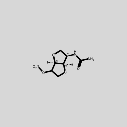 NC(=O)N[C@@H]1CO[C@@H]2C(O[N+](=O)[O-])CO[C@@H]21